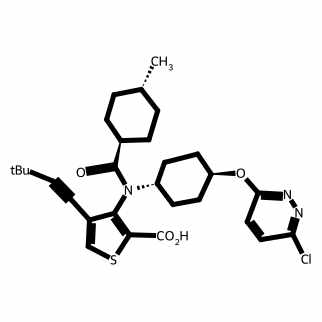 CC(C)(C)C#Cc1csc(C(=O)O)c1N(C(=O)[C@H]1CC[C@H](C)CC1)[C@H]1CC[C@H](Oc2ccc(Cl)nn2)CC1